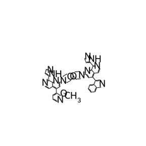 COc1ncccc1-c1cc(N2CCOCC2)nc2c(-c3ccn[nH]3)nccc12.c1ccc2c(-c3cc(N4CCOCC4)nc4c(-c5ccn[nH]5)nccc34)cncc2c1